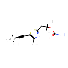 Cc1nc(CC(C)(C)OC(N)=O)sc1C#C[Si](C)(C)C